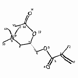 C=C(C)C(=O)OC[C@H](C[N+](C)(C)C)OC(C)=O